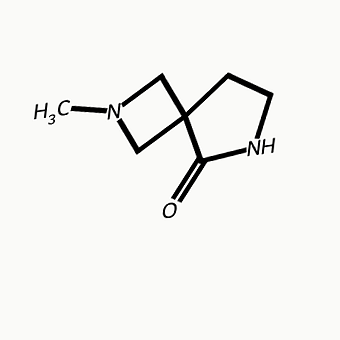 CN1CC2(CCNC2=O)C1